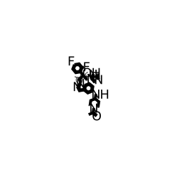 CC(=O)N1CCC(Nc2ccc3c(cnn3[C@H](C)[C@](O)(Cn3cncn3)c3ccc(F)cc3F)c2)CC1